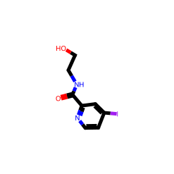 O=C(NCCO)c1cc(I)ccn1